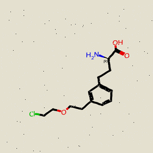 N[C@H](CCc1cccc(CCOCCCl)c1)C(=O)O